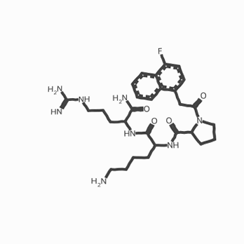 N=C(N)NCCCC(NC(=O)C(CCCCN)NC(=O)C1CCCN1C(=O)Cc1ccc(F)c2ccccc12)C(N)=O